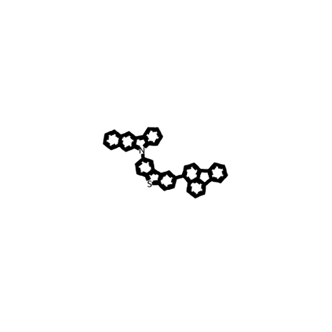 c1ccc2c(c1)-c1cccc3c(-c4ccc5sc6ccc(-n7c8ccccc8c8cc9ccccc9cc87)cc6c5c4)ccc-2c13